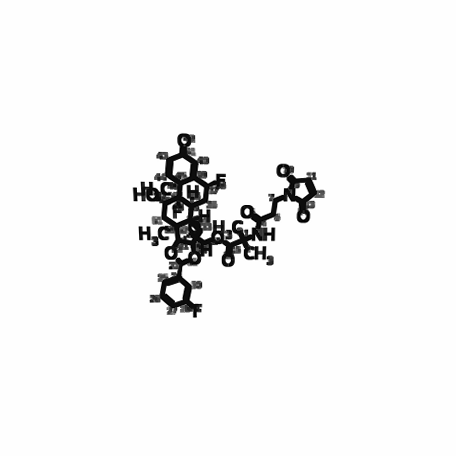 CC(C)(NC(=O)CCN1C(=O)C=CC1=O)C(=O)OCC(=O)[C@@]12O[C@H](c3cccc(F)c3)O[C@@H]1C[C@H]1[C@@H]3C[C@H](F)C4=CC(=O)C=C[C@]4(C)[C@@]3(F)[C@@H](O)C[C@@]12C